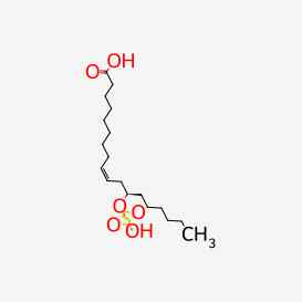 CCCCCC[C@H](C/C=C\CCCCCCCC(=O)O)OS(=O)(=O)O